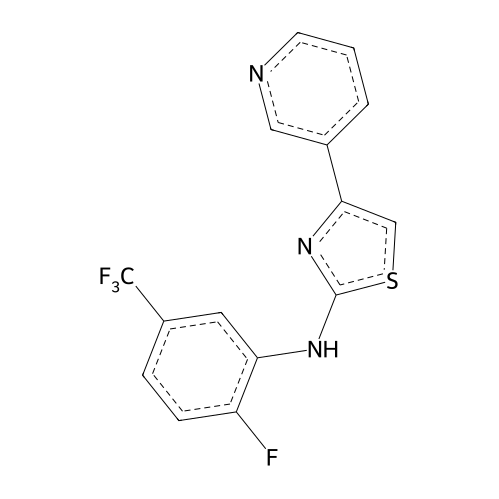 Fc1ccc(C(F)(F)F)cc1Nc1nc(-c2cccnc2)cs1